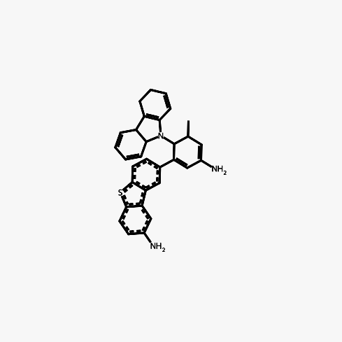 CC1C=C(N)C=C(c2ccc3sc4ccc(N)cc4c3c2)C1N1C2=C(CCC=C2)C2C=CC=CC21